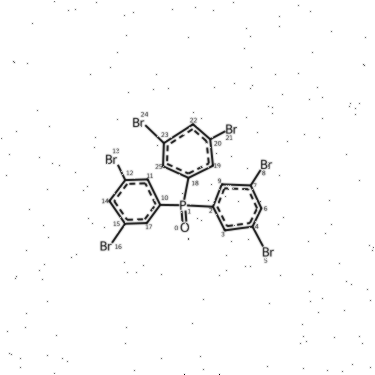 O=P(c1cc(Br)cc(Br)c1)(c1cc(Br)cc(Br)c1)c1cc(Br)cc(Br)c1